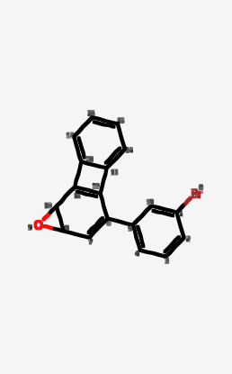 Brc1cccc(C2=CC3OC3C3=C2c2ccccc23)c1